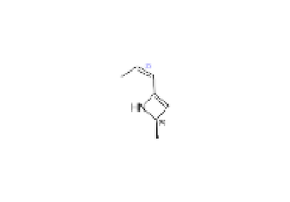 C/C=C\C1=C[C@@H](C)N1